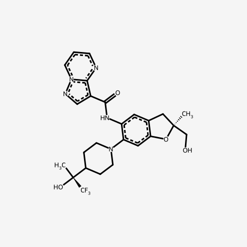 C[C@@]1(CO)Cc2cc(NC(=O)c3cnn4cccnc34)c(N3CCC([C@@](C)(O)C(F)(F)F)CC3)cc2O1